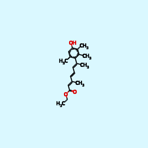 CCOC(=O)/C=C(C)/C=C/C=C(\C)c1c(C)cc(O)c(C)c1C